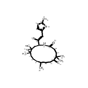 CCCCC12CC(C(F)=Cc3csc(C)n3)NC(=O)CCC(C)(C)C(=O)CCC(C)CCCC1(C)O2